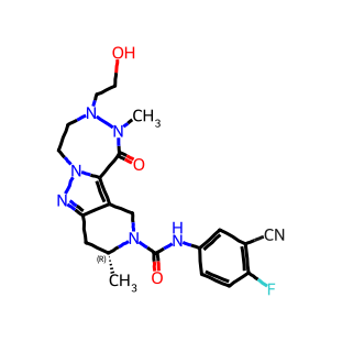 C[C@@H]1Cc2nn3c(c2CN1C(=O)Nc1ccc(F)c(C#N)c1)C(=O)N(C)N(CCO)CC3